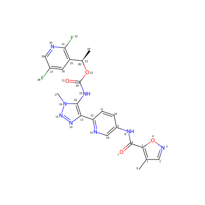 Cc1cnoc1C(=O)Nc1ccc(-c2nnn(C)c2NC(=O)O[C@H](C)c2cc(F)cnc2F)nc1